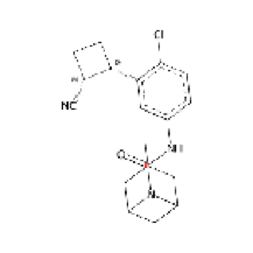 CC1CC2CC(C1)N2C(=O)Nc1ccc(Cl)c([C@H]2CC[C@H]2C#N)c1